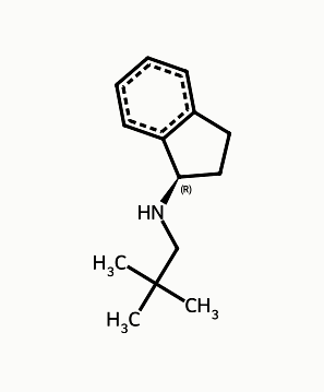 CC(C)(C)CN[C@@H]1CCc2ccccc21